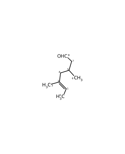 CC=C(C)CC(C)CC=O